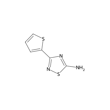 Nc1nc(-c2cccs2)ns1